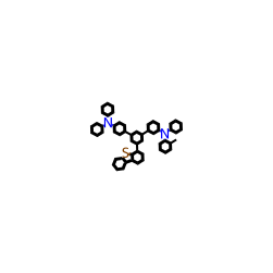 Cc1ccccc1N(c1ccccc1)c1cccc(-c2cc(-c3ccc(N(c4ccccc4)c4ccccc4)cc3)cc(-c3cccc4c3sc3ccccc34)c2)c1